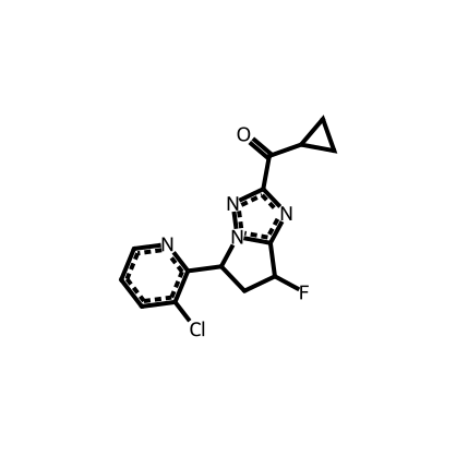 O=C(c1nc2n(n1)C(c1ncccc1Cl)CC2F)C1CC1